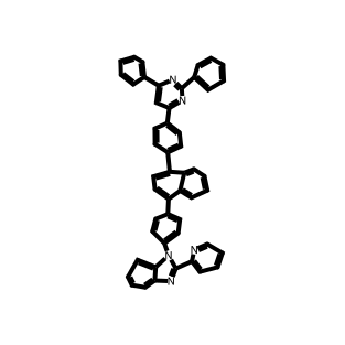 c1ccc(-c2cc(-c3ccc(-c4ccc(-c5ccc(-n6c(-c7ccccn7)nc7ccccc76)cc5)c5ccccc45)cc3)nc(-c3ccccc3)n2)cc1